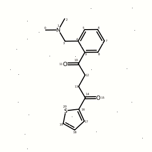 CN(C)Cc1ccccc1C(=O)CCC(=O)c1cccs1